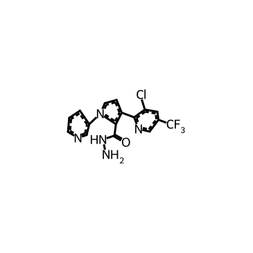 NNC(=O)c1c(-c2ncc(C(F)(F)F)cc2Cl)ccn1-c1cccnc1